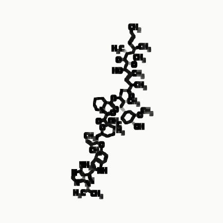 C=C/C=C/[C@@H](C)C[C@@H](C)C(=O)[C@H](OC)[C@H](O)/C(C)=C/[C@@H](C)C(=O)C[C@H](OC(=O)C1CCCCN1C(=O)C(=O)[C@]1(O)O[C@H](C[C@@H](Oc2ccc3[nH]c(-c4nn(C(C)C)c5ncnc(N)c45)cc3c2)/C(C)=C\C)CC[C@H]1C)[C@H](C)C[C@H]1CC[C@@H](O)[C@H](OC)C1